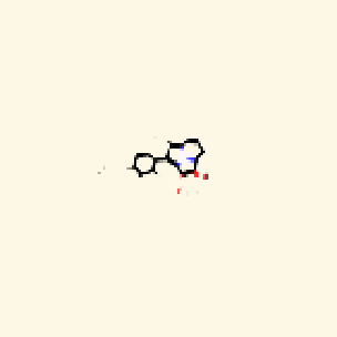 CCc1c(-c2ccc(OC)cc2C)c2c(OC(=O)O)c(OC(=O)O)c3cccc1n32